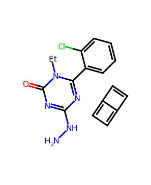 CCn1c(-c2ccccc2Cl)nc(NN)nc1=O.c1cc2ccc1-2